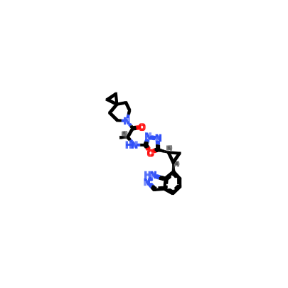 C[C@H](Nc1nnc([C@H]2C[C@H]2c2cccc3cn[nH]c23)o1)C(=O)N1CCC2(CC1)CC2